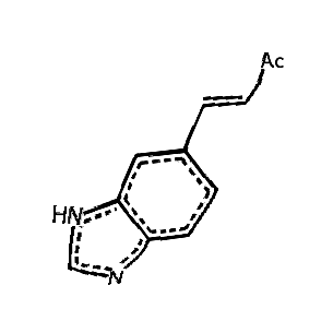 CC(=O)C=Cc1ccc2nc[nH]c2c1